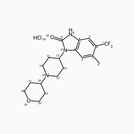 Cc1cc2c(cc1C(F)(F)F)[nH]c(=O)n2C1CCN(C2CCOCC2)CC1.Cl